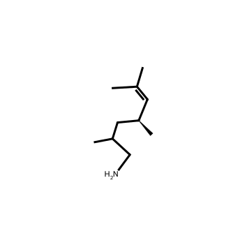 CC(C)=C[C@@H](C)CC(C)CN